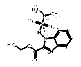 CCOC(=O)c1nc2ccccc2n1NS(=O)(=O)N(C)C